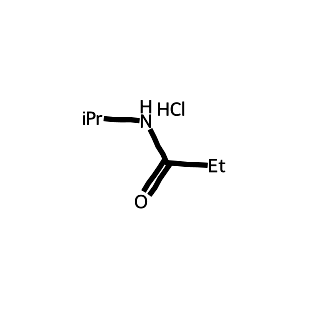 CCC(=O)NC(C)C.Cl